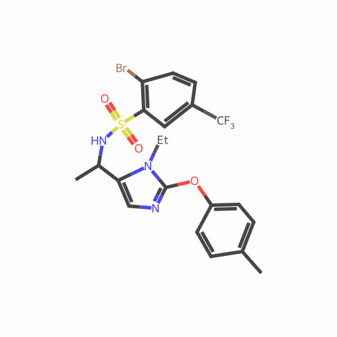 CCn1c(C(C)NS(=O)(=O)c2cc(C(F)(F)F)ccc2Br)cnc1Oc1ccc(C)cc1